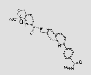 CNC(=O)c1ccc(-c2ccc3cnc(CNC(=O)c4ccc5c(c4)[C@](C)(C#N)COC5)cc3n2)cc1